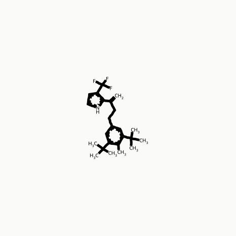 C=C(CCc1cc(C(C)(C)C)c(C)c(C(C)(C)C)c1)c1[nH]ccc1C(F)(F)F